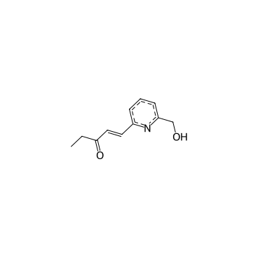 CCC(=O)/C=C/c1cccc(CO)n1